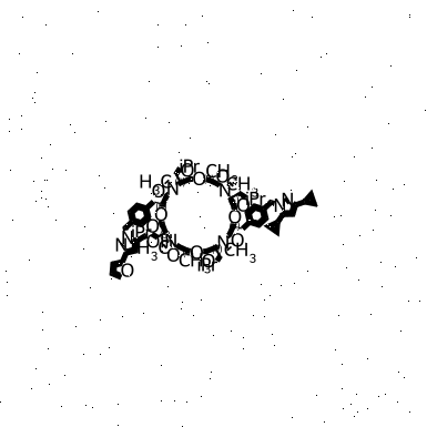 CC(C)C[C@H]1C(=O)O[C@H](Cc2ccc(Cn3nc(C4CC4)cc3C3CC3)cc2)C(=O)N(C)[C@@H](CC(C)C)C(=O)O[C@H](C)C(=O)N(C)[C@@H](CC(C)C)C(=O)O[C@H](Cc2ccc(Cn3nc(-c4ccco4)cc3CO)cc2)C(=O)N(C)[C@@H](CC(C)C)C(=O)O[C@H](C)C(=O)N1C